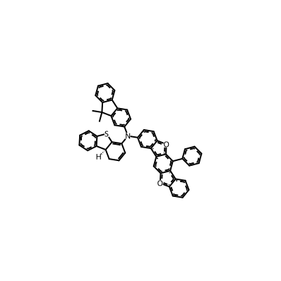 CC1(C)c2ccccc2-c2ccc(N(C3=C4Sc5ccccc5[C@@H]4CC=C3)c3ccc4oc5c(-c6ccccc6)c6c(cc5c4c3)oc3ccccc36)cc21